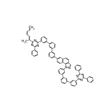 C=C/C=C\C=C(/C)c1nc(-c2ccccc2)nc(-c2cccc(-c3cccc(-c4cccc(-c5ccc6c(ccc7cnn(-c8cccc(-c9cccc(-c%10cccc(-c%11nc(-c%12ccccc%12)nc(-c%12ccccc%12)n%11)c%10)c9)c8)c76)c5)c4)c3)c2)n1